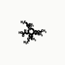 CCOP(C)(=O)CN1CCN(CP(C)(=O)OCC)CC(CNC(=O)O)N(CP(C)(=O)OCC)CC1